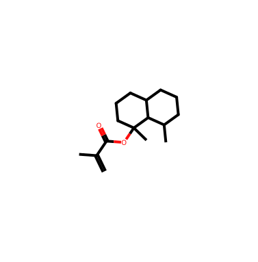 C=C(C)C(=O)OC1(C)CCCC2CCCC(C)C21